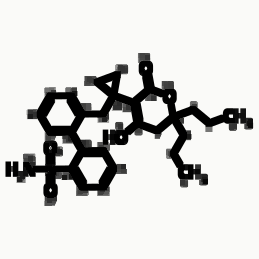 CCCC1(CCC)CC(O)=C(C2(Cc3ccccc3-c3ccccc3S(N)(=O)=O)CC2)C(=O)O1